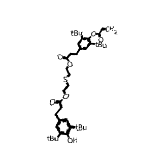 C=CC(=O)Oc1c(C(C)(C)C)cc(CCC(=O)OCCSCCOC(=O)CCc2cc(C(C)(C)C)c(O)c(C(C)(C)C)c2)cc1C(C)(C)C